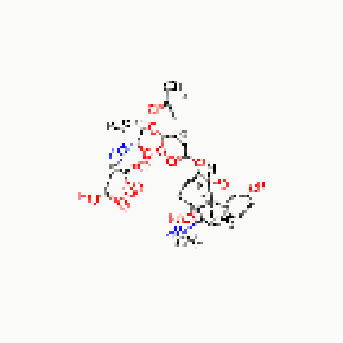 CC[C@]12c3c4ccc(O)c3O[C@H]1C(OC(=O)C[C@H](CC(C)=O)C(=O)O[C@@H](C)C(=O)N[C@H](CC(=O)O)C(=O)O)=CC[C@@]2(O)[C@H](NC)C4